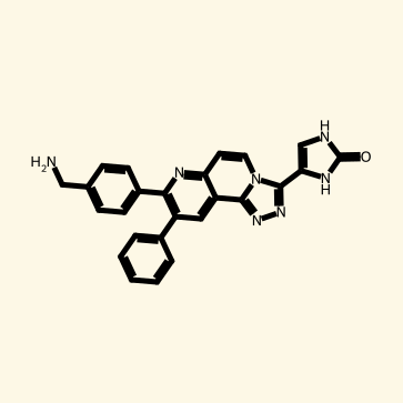 NCc1ccc(-c2nc3ccn4c(-c5c[nH]c(=O)[nH]5)nnc4c3cc2-c2ccccc2)cc1